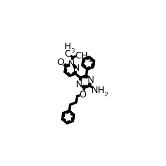 CC(C)n1nc(-c2nc(OCCCc3ccccc3)c(N)nc2-c2ccccc2)ccc1=O